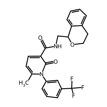 Cc1ccc(C(=O)NCC2OCCc3ccccc32)c(=O)n1-c1cccc(C(F)(F)F)c1